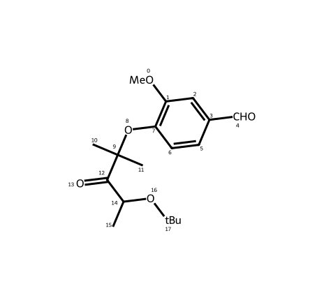 COc1cc(C=O)ccc1OC(C)(C)C(=O)C(C)OC(C)(C)C